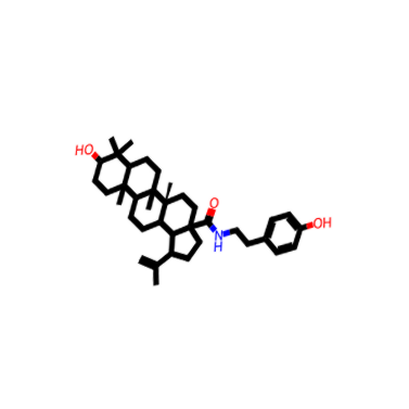 C=C(C)C1CCC2(C(=O)NCCc3ccc(O)cc3)CC[C@]3(C)C(CCC4C5(C)CCC(O)C(C)(C)C5CCC43C)C12